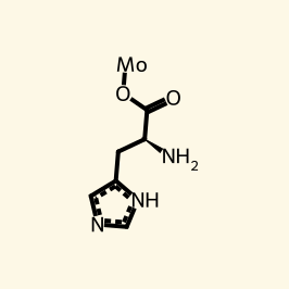 N[C@@H](Cc1cnc[nH]1)C(=O)[O][Mo]